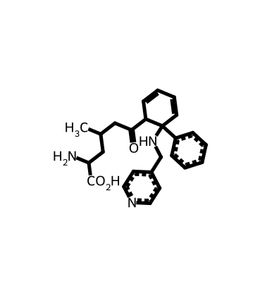 CC(CC(=O)C1C=CC=CC1(NCc1ccncc1)c1ccccc1)CC(N)C(=O)O